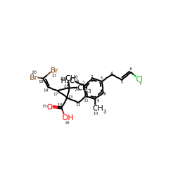 Cc1cc(CC=CCl)cc(C)c1CC1(C(=O)O)C(C=C(Br)Br)C1(C)C